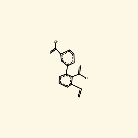 C=Cc1cccc(-c2cccc(C(=O)O)c2)c1C(=O)O